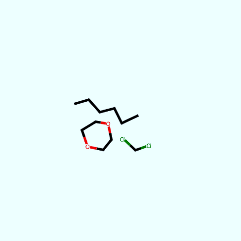 C1COCCO1.CCCCCC.ClCCl